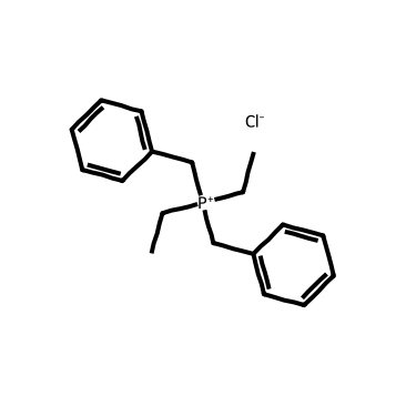 CC[P+](CC)(Cc1ccccc1)Cc1ccccc1.[Cl-]